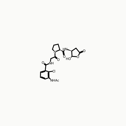 CC(=O)Nc1cccc(C(=O)NCC(=O)N2CCC[C@H]2C(=O)N[C@H]2CC(=O)O[C@H]2O)c1Cl